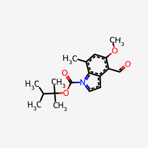 COc1cc(C)c2c(ccn2C(=O)OC(C)(C)C(C)C)c1C=O